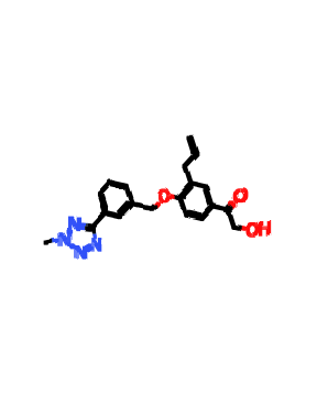 C=CCc1cc(C(=O)CO)ccc1OCc1cccc(-c2nnn(C)n2)c1